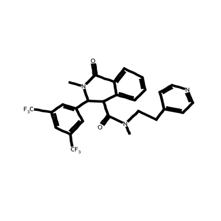 CN(CCc1ccncc1)C(=O)C1c2ccccc2C(=O)N(C)C1c1cc(C(F)(F)F)cc(C(F)(F)F)c1